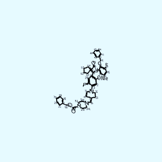 COc1cc(N2CCC(CN3CCN(C(=O)OCc4ccccc4)CC3)CC2)c(F)cc1[C@@H]1N(c2cccc(F)c2OCc2ccccc2)C(=O)C12CCCC2